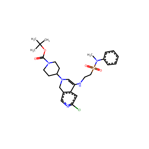 CN(c1ccccc1)S(=O)(=O)CCNC1=CN(C2CCN(C(=O)OC(C)(C)C)CC2)Cc2cnc(Cl)cc21